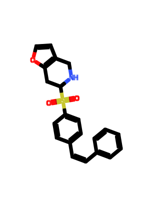 O=S(=O)(c1ccc(/C=C\c2ccccc2)cc1)C1Cc2occc2CN1